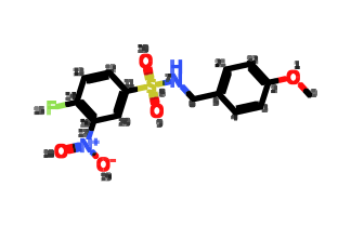 COc1ccc(CNS(=O)(=O)c2ccc(F)c([N+](=O)[O-])c2)cc1